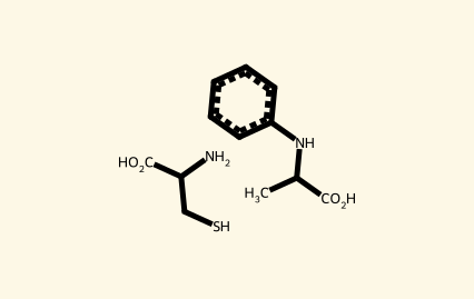 CC(Nc1ccccc1)C(=O)O.NC(CS)C(=O)O